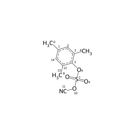 Cc1cc(C)c(OS(=O)(=O)OC#N)c(C)c1